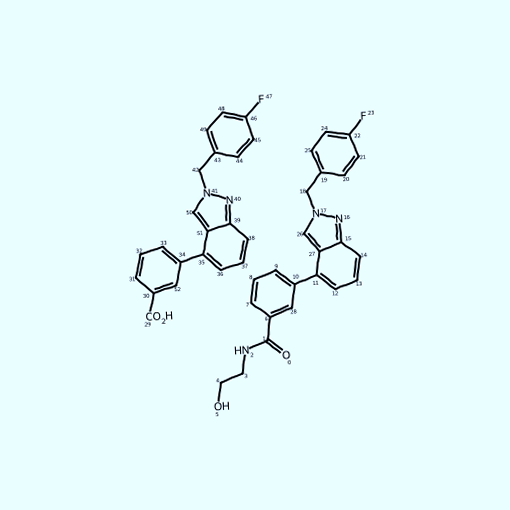 O=C(NCCO)c1cccc(-c2cccc3nn(Cc4ccc(F)cc4)cc23)c1.O=C(O)c1cccc(-c2cccc3nn(Cc4ccc(F)cc4)cc23)c1